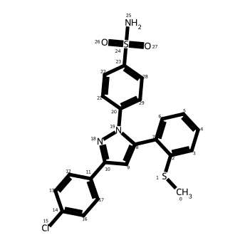 CSc1ccccc1-c1cc(-c2ccc(Cl)cc2)nn1-c1ccc(S(N)(=O)=O)cc1